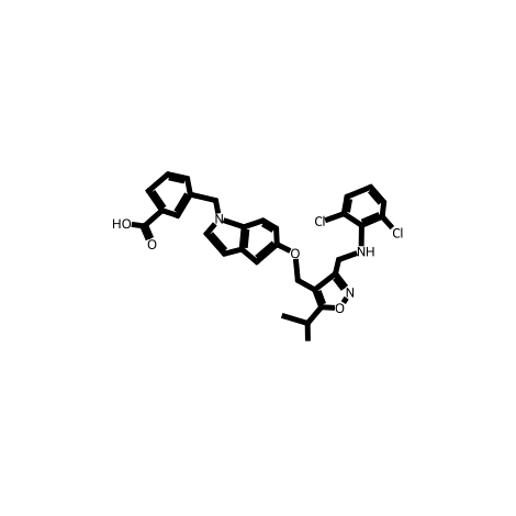 CC(C)c1onc(CNc2c(Cl)cccc2Cl)c1COc1ccc2c(ccn2Cc2cccc(C(=O)O)c2)c1